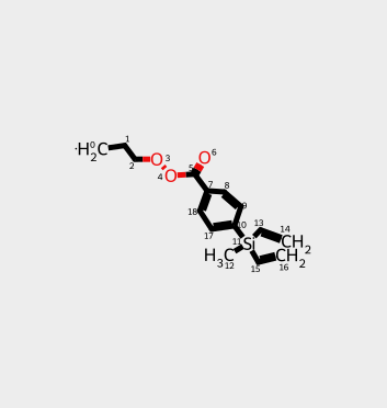 [CH2]CCOOC(=O)c1ccc([Si](C)(C=C)C=C)cc1